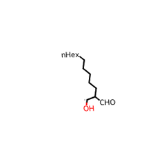 CCCCCCCCCCCC([CH]O)C=O